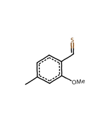 COc1cc(C)ccc1C=S